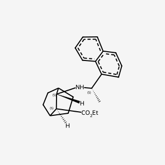 CCOC(=O)[C@H]1C2CCC(CC2)[C@@H]1N[C@@H](C)c1cccc2ccccc12